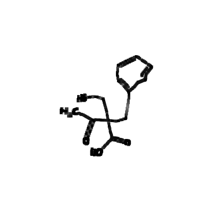 CC(=O)C(CS)(Cc1ccccc1)C(=O)O